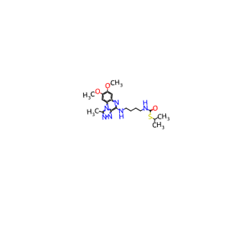 COc1cc2nc(NCCCCNC(=O)SC(C)C)c3nnc(C)n3c2cc1OC